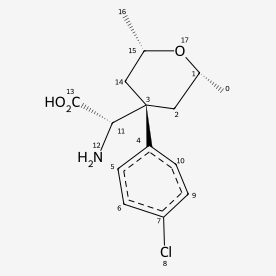 C[C@@H]1C[C@](c2ccc(Cl)cc2)([C@H](N)C(=O)O)C[C@H](C)O1